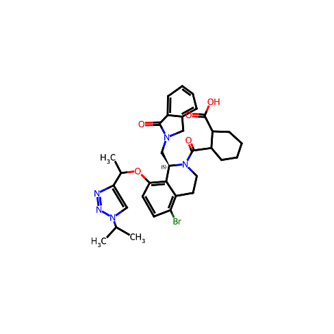 CC(Oc1ccc(Br)c2c1[C@@H](CN1Cc3ccccc3C1=O)N(C(=O)C1CCCCC1C(=O)O)CC2)c1cn(C(C)C)nn1